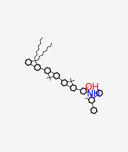 CCCCCCCCC1(CCCCCCCC)c2ccccc2-c2ccc(-c3ccc4c(c3)C(C)(C)c3cc(-c5ccc6c(c5)C(C)(C)c5cc(-c7ccc(Nc8c(C)cc(-c9ccccc9)cc8-c8ccccc8)c(O)c7)ccc5-6)ccc3-4)cc21